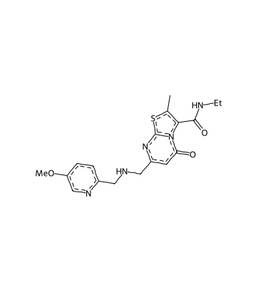 CCNC(=O)c1c(C)sc2nc(CNCc3ccc(OC)cn3)cc(=O)n12